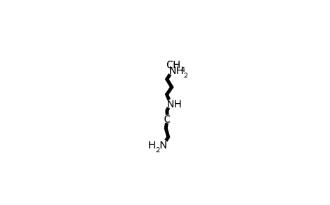 C.NCCCCNCCCN